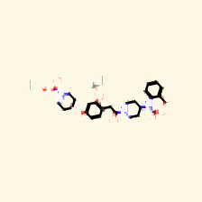 CC(C)(C)OC(=O)N1CCC(Oc2ccc(CC(=O)N3CCC(N4C(=O)OCc5ccccc54)CC3)c(OCC(F)(F)F)c2)CC1